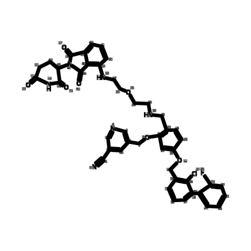 N#Cc1cncc(COc2cc(OCc3cccc(-c4ccccc4F)c3Cl)ccc2CNCCOCCNc2cccc3c2C(=O)N(C2CCC(=O)NC2=O)C3=O)c1